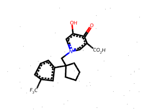 O=C(O)c1cn(CC2(c3cccc(C(F)(F)F)c3)CCCC2)cc(O)c1=O